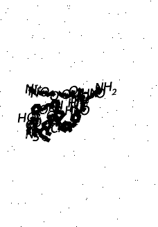 CC#Cc1sc2ncnc(O[C@H](Cc3ccccc3OCc3ccnc(-c4ccccc4OC)n3)C(=O)O)c2c1-c1ccc(OCCN2CC[N+](C)(Cc3ccc(NC(=O)[C@H](CCCNC(N)=O)NC(=O)[C@@H](NC(=O)COCCOCCOCCN=[N+]=[N-])C(C)C)cc3)CC2)c(Cl)c1CC